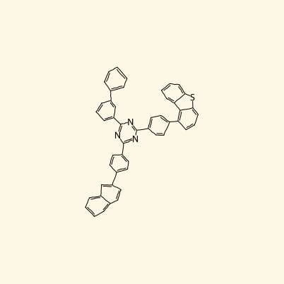 c1ccc(-c2cccc(-c3nc(-c4ccc(-c5ccc6ccccc6c5)cc4)nc(-c4ccc(-c5cccc6sc7ccccc7c56)cc4)n3)c2)cc1